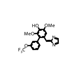 COc1cc(C=C2N=CC=N2)c(-c2cccc(OC(F)(F)F)c2)c(OC)c1O